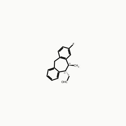 C[C@@H]1c2cc(F)ccc2Cc2ccccc2[C@H]1CC=O